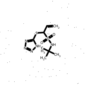 C=CC(Sc1nnn[nH]1)S(=O)(=O)NC(C)(C)C